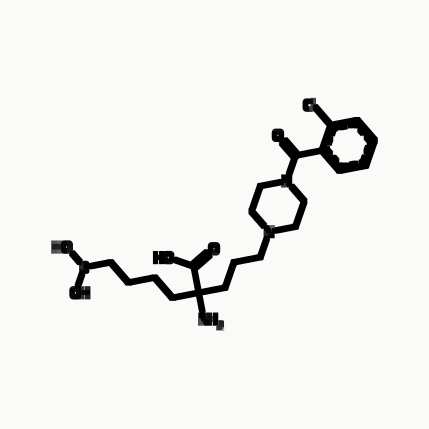 NC(CCCCB(O)O)(CCCN1CCN(C(=O)c2ccccc2Cl)CC1)C(=O)O